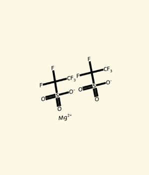 O=S(=O)([O-])C(F)(F)C(F)(F)F.O=S(=O)([O-])C(F)(F)C(F)(F)F.[Mg+2]